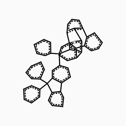 c1ccc(N(c2ccc3c(c2)-c2cccc4c2-c2ccccc2-c2cccc-4c2-3)c2ccc3c(c2)C(c2ccccc2)(c2ccccc2)c2ccccc2-3)cc1